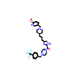 COc1ccc(CN2CCC(/C=C/C=C3\CNC(C(=O)N4CCN(Cc5ccc(C(F)(F)F)cc5)CC4)=N3)CC2)cn1